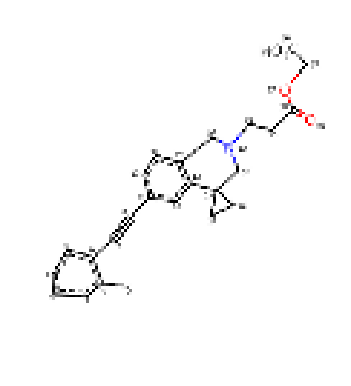 Cc1ccccc1C#Cc1ccc2c(c1)C1(CC1)CN(CCC(=O)OCC(=O)O)C2